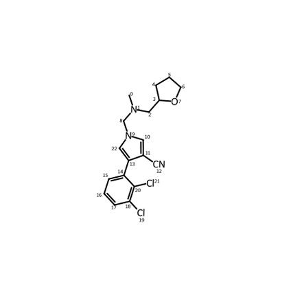 CN(CC1CCCO1)Cn1cc(C#N)c(-c2cccc(Cl)c2Cl)c1